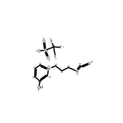 O=S(=O)([O-])C(F)(F)F.Oc1ccc[n+](CCCN=C=S)c1